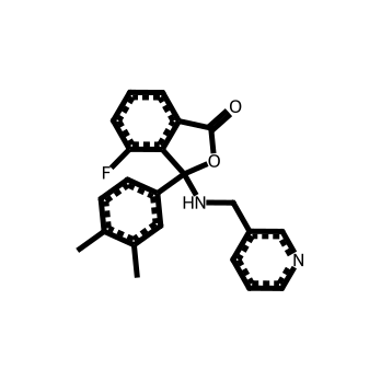 Cc1ccc(C2(NCc3cccnc3)OC(=O)c3cccc(F)c32)cc1C